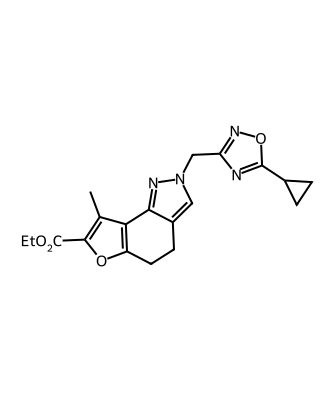 CCOC(=O)c1oc2c(c1C)-c1nn(Cc3noc(C4CC4)n3)cc1CC2